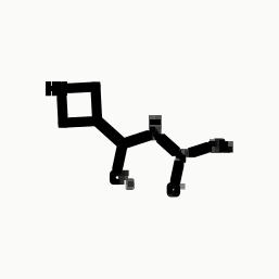 CC(C)(C)[S+]([O-])NC(C1CNC1)C(F)(F)F